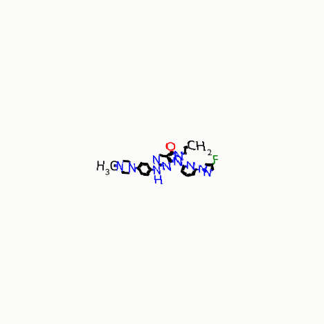 C=CCn1c(=O)c2cnc(Nc3ccc(N4CCN(C)CC4)cc3)nc2n1-c1cccc(-n2cc(F)cn2)n1